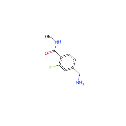 CC(C)(C)NC(=O)c1ccc(CN)cc1F